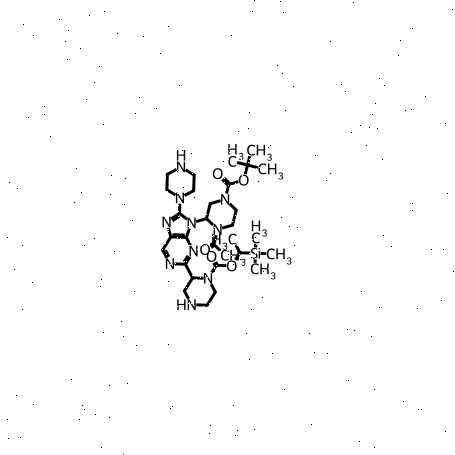 CC(=O)N1CCN(C(=O)OC(C)(C)C)CC1n1c(N2CCNCC2)nc2cnc(C3CNCCN3C(=O)OC(C)[Si](C)(C)C)nc21